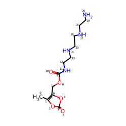 Cc1oc(=O)oc1COC(=O)NCCNCCNCCN